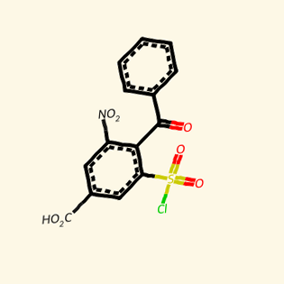 O=C(O)c1cc([N+](=O)[O-])c(C(=O)c2ccccc2)c(S(=O)(=O)Cl)c1